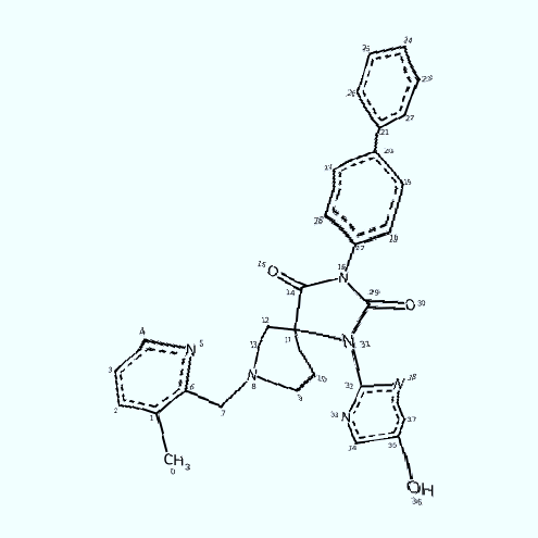 Cc1cccnc1CN1CCC2(CC1)C(=O)N(c1ccc(-c3ccccc3)cc1)C(=O)N2c1ncc(O)cn1